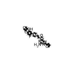 Nc1nc2c(sc(=O)n2CCN2CCN(c3ccc(O[C@@H]4COC[C@H]4O)cc3F)CC2)c2nc(-c3ccco3)nn12